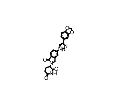 O=C1CCC(N2Cc3cc(-n4cc(-c5ccc6c(c5)OCO6)nn4)ccc3C2=O)C(=O)N1